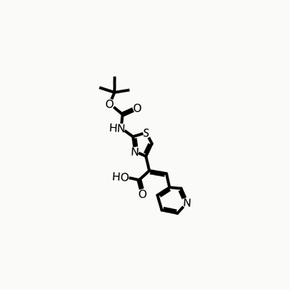 CC(C)(C)OC(=O)Nc1nc(/C(=C/c2cccnc2)C(=O)O)cs1